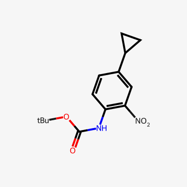 CC(C)(C)OC(=O)Nc1ccc(C2CC2)cc1[N+](=O)[O-]